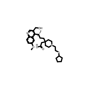 COc1ccc2ncc(CO)c([C@H](F)CCC3(CC(=O)O)CCN(CCSC4CCCC4)CC3)c2c1